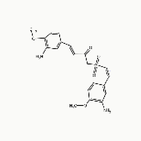 COc1ccc(C=CC(=O)CS(=O)(=O)/C=C\c2ccc(OC)c(N)c2)cc1N